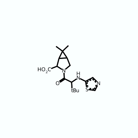 CC(C)(C)C(Nc1cncs1)C(=O)N1CC2C(C1C(=O)O)C2(C)C